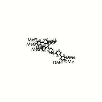 COc1cc(-c2cncc(CN3CCC(N(Cc4ccnc(-c5cc(OC)c(OC)c(OC)c5)c4)c4ccc(SC)cc4)CC3)c2)cc(OC)c1OC.Cl.Cl.Cl